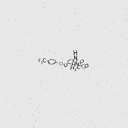 CC1(C(=O)Nc2c[nH]c3ccc(OC4CC(c5ccc(C(F)(F)F)cc5)C4)cc23)CCOC1